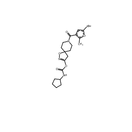 Cc1oc(C(C)(C)C)cc1C(=O)N1CCC2(CC1)CC(OC(=O)NC1CCCC1)=NO2